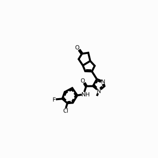 Cn1cnc(C2=CC3CC(=O)CC3C2)c1C(=O)Nc1ccc(F)c(Cl)c1